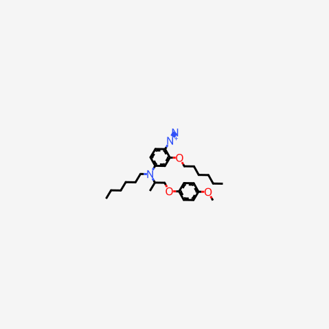 CCCCCCOc1cc(N(CCCCCC)C(C)COc2ccc(OC)cc2)ccc1[N+]#N